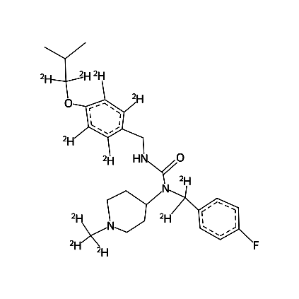 [2H]c1c([2H])c(OC([2H])([2H])C(C)C)c([2H])c([2H])c1CNC(=O)N(C1CCN(C([2H])([2H])[2H])CC1)C([2H])([2H])c1ccc(F)cc1